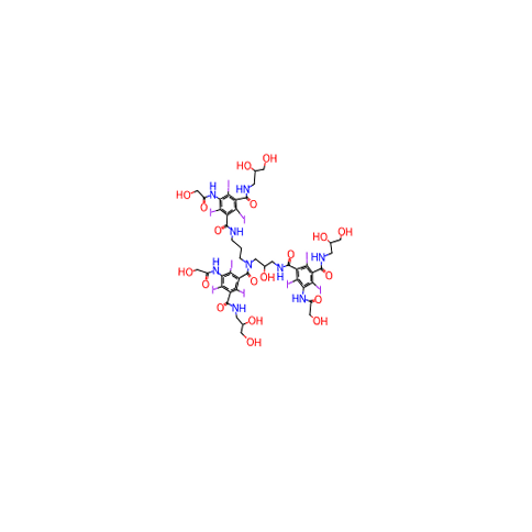 O=C(CO)Nc1c(I)c(C(=O)NCCCN(CC(O)CNC(=O)c2c(I)c(NC(=O)CO)c(I)c(C(=O)NCC(O)CO)c2I)C(=O)c2c(I)c(NC(=O)CO)c(I)c(C(=O)NCC(O)CO)c2I)c(I)c(C(=O)NCC(O)CO)c1I